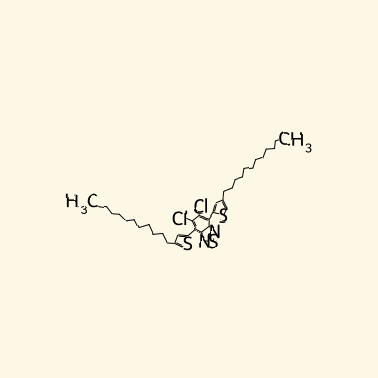 CCCCCCCCCCCCc1csc(-c2c(Cl)c(Cl)c(-c3cc(CCCCCCCCCCCC)cs3)c3nsnc23)c1